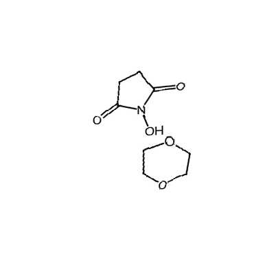 C1COCCO1.O=C1CCC(=O)N1O